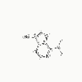 CN(C)c1ncnc2c1ncn2C(C)(C)C